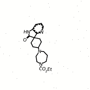 CCOC(=O)N1CCCN(C2CCC3(CC2)C(=O)Nc2cccnc23)CC1